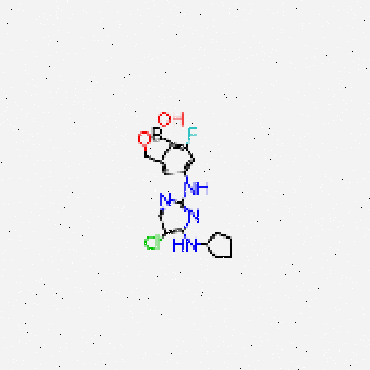 OB1OCc2cc(Nc3ncc(Cl)c(NC4CCCC4)n3)cc(F)c21